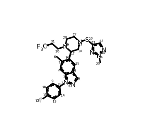 Cc1cc2c(cnn2-c2ccc(F)cc2)cc1C1CN(Sc2cnn(C)n2)CCN1CCC(F)(F)F